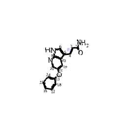 NC(=O)/C=C/c1c[nH]c2ncc(Oc3ccccc3)cc12